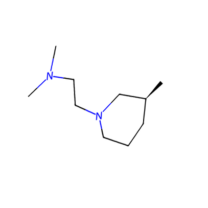 C[C@H]1CCCN(CCN(C)C)C1